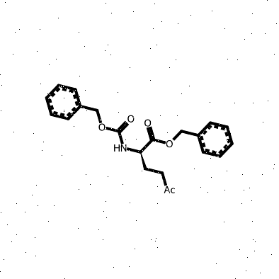 CC(=O)CC[C@@H](NC(=O)OCc1ccccc1)C(=O)OCc1ccccc1